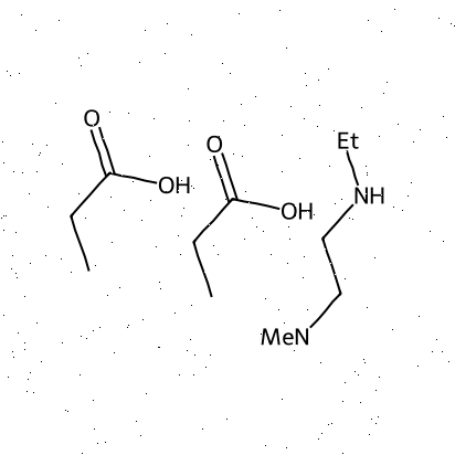 CCC(=O)O.CCC(=O)O.CCNCCNC